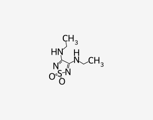 CCNC1=NS(=O)(=O)N=C1NCC